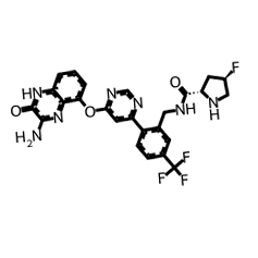 Nc1nc2c(Oc3cc(-c4ccc(C(F)(F)F)cc4CNC(=O)[C@@H]4C[C@@H](F)CN4)ncn3)cccc2[nH]c1=O